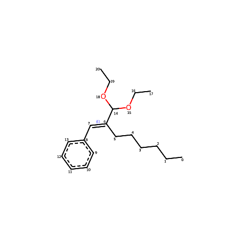 CCCCCC/C(=C\c1ccccc1)C(OCC)OCC